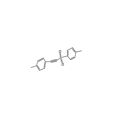 Cc1ccc(C#CS(=O)(=O)c2ccc(C)cc2)cc1